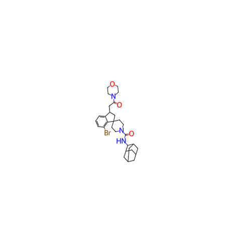 O=C(CC1CC2(CCN(C(=O)NC3C4CC5CC(C4)CC3C5)CC2)c2c(Br)cccc21)N1CCOCC1